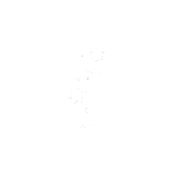 C/C(=N\NC(=O)c1cccc([S+]([O-])N2CCN(C)CC2)c1)c1cc(Cl)ccc1O